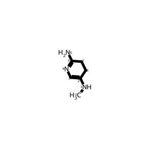 CNC1=CN=C(N)CC1